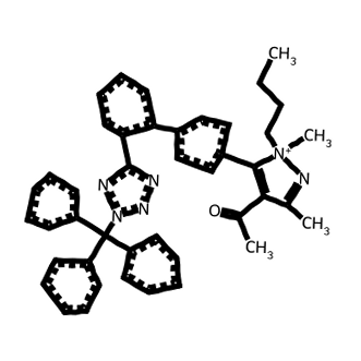 CCCC[N+]1(C)N=C(C)C(C(C)=O)=C1c1ccc(-c2ccccc2-c2nnn(C(c3ccccc3)(c3ccccc3)c3ccccc3)n2)cc1